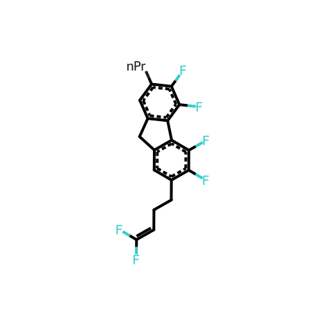 CCCc1cc2c(c(F)c1F)-c1c(cc(CCC=C(F)F)c(F)c1F)C2